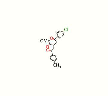 COC(=O)C(CC(=O)c1ccc(C)cc1)CC(=O)c1ccc(Cl)cc1